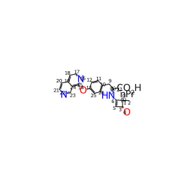 CCC[C@]1(C)C(=O)C=C1N[C@@H](Cc1ccc(Oc2nccc3ccncc23)cc1)C(=O)O